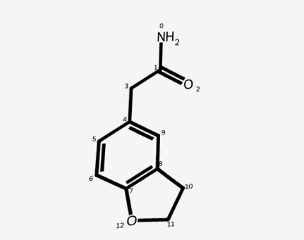 NC(=O)Cc1ccc2c(c1)CCO2